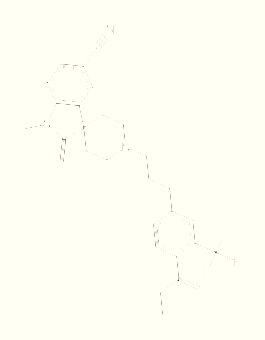 C=C(CC)c1ccc(CCCN2CCC3(CC2)C(=C)N(C)c2ccc(C#N)cc23)cc1C(F)(F)F